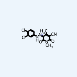 CC1=C(C#N)C(=O)N(C)C(=O)/C1=N\Nc1ccc(Cl)c(Cl)c1